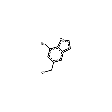 ClCc1cc(Br)c2occc2c1